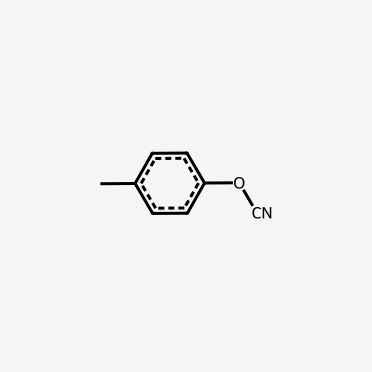 Cc1ccc(OC#N)cc1